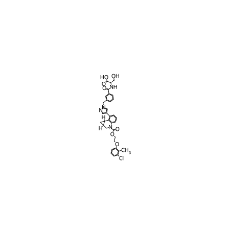 Cc1c(Cl)cccc1OCCOC(=O)N1C[C@@H]2C[C@@H]2c2c(-c3cnn(Cc4cccc(C(=O)N[C@H](CO)C(=O)O)c4)c3)cccc21